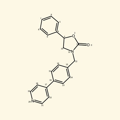 O=C1OC(c2ccccc2)CN1Cc1ccc(-c2ccncc2)cc1